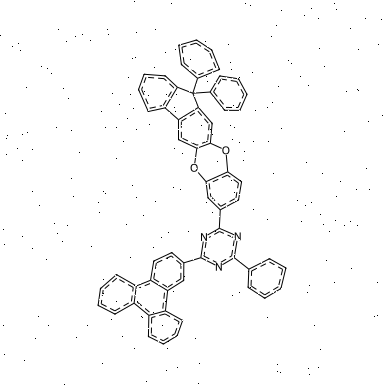 c1ccc(-c2nc(-c3ccc4c(c3)Oc3cc5c(cc3O4)C(c3ccccc3)(c3ccccc3)c3ccccc3-5)nc(-c3ccc4c5ccccc5c5ccccc5c4c3)n2)cc1